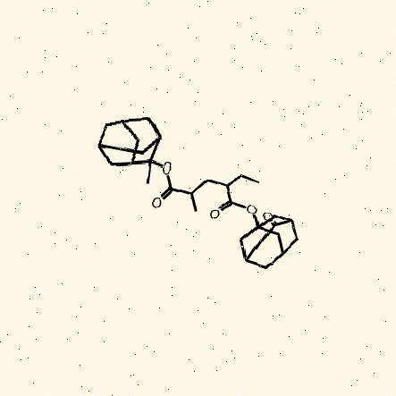 CCC(CC(C)C(=O)OC1(C)C2CC3CC(C2)CC1C3)C(=O)OC12CC3CC(C1)C(=O)C(C3)C2